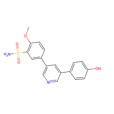 COc1ccc(-c2cncc(-c3ccc(O)cc3)c2)cc1S(N)(=O)=O